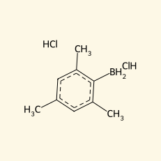 Bc1c(C)cc(C)cc1C.Cl.Cl